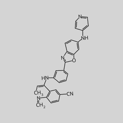 C=Nc1ccc(C#N)cc1/C(=C\C)Nc1cccc(-c2nc3ccc(Nc4ccncc4)cc3o2)c1